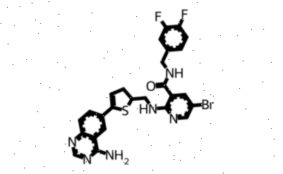 Nc1ncnc2ccc(C3=CCC(CNc4ncc(Br)cc4C(=O)NCc4ccc(F)c(F)c4)S3)cc12